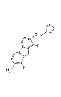 Cc1ccc2c(sc3c(F)c(OCC4C=CCC4)ccc32)c1F